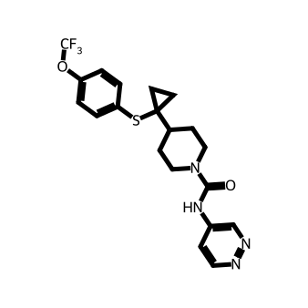 O=C(Nc1ccnnc1)N1CCC(C2(Sc3ccc(OC(F)(F)F)cc3)CC2)CC1